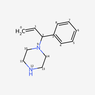 C=CC(c1ccccc1)N1CCNCC1